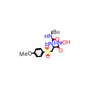 COc1ccc(S(=O)(=O)CC(NC(=O)NC(C)(C)C)C(=O)NO)cc1